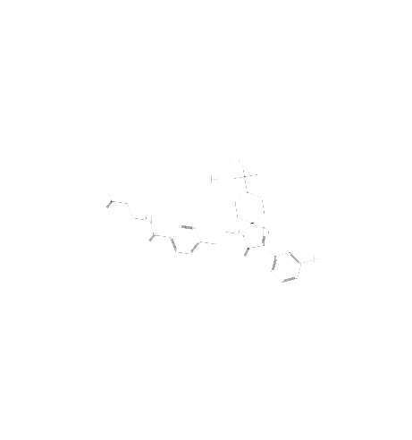 CC(C)(C)C1CCC2(CC1)N=C(c1cccc(F)c1)C(=O)N2CCc1ccc(C(=O)NCCC(=O)O)cc1